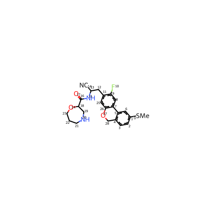 CSc1ccc2c(c1)-c1cc(F)c(CC(C#N)NC(=O)C3CNCCCO3)cc1OC2